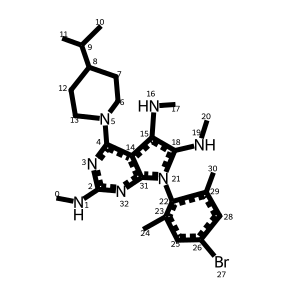 CNc1nc(N2CCC(C(C)C)CC2)c2c(NC)c(NC)n(-c3c(C)cc(Br)cc3C)c2n1